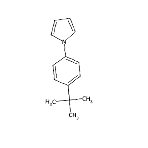 CC(C)(C)c1ccc(-n2cccc2)cc1